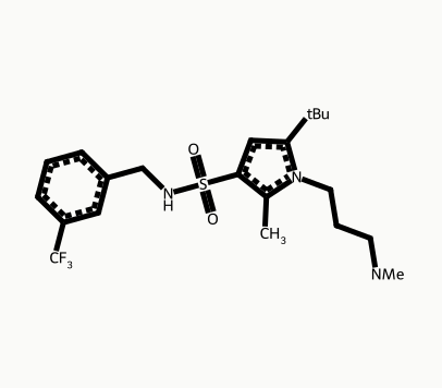 CNCCCn1c(C(C)(C)C)cc(S(=O)(=O)NCc2cccc(C(F)(F)F)c2)c1C